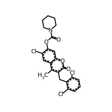 Cc1c(Cc2c(Cl)cccc2Cl)c(=O)oc2cc(OC(=O)N3CCCCC3)c(Cl)cc12